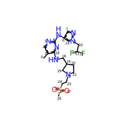 Cc1cnc(Nc2cnn(CC(F)F)c2)nc1NCC1CCN(CCS(C)(=O)=O)C1